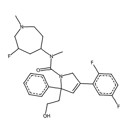 CN1CCC(N(C)C(=O)N2CC(c3cc(F)ccc3F)=CC2(CCO)c2ccccc2)CC(F)C1